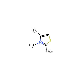 CSc1scc(C)[n+]1C